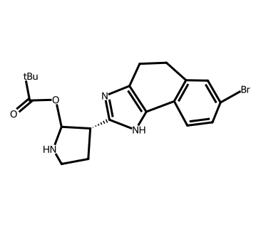 CC(C)(C)C(=O)OC1NCC[C@H]1c1nc2c([nH]1)-c1ccc(Br)cc1CC2